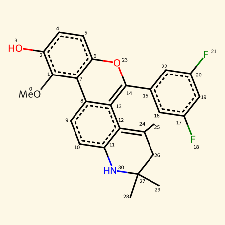 COc1c(O)ccc2c1-c1ccc3c(c1=C(c1cc(F)cc(F)c1)O2)=C(C)CC(C)(C)N3